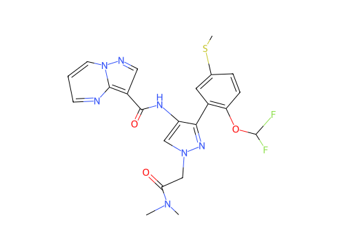 CSc1ccc(OC(F)F)c(-c2nn(CC(=O)N(C)C)cc2NC(=O)c2cnn3cccnc23)c1